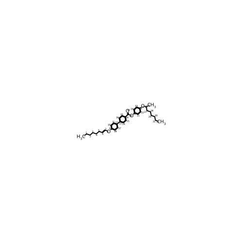 CCCCCC/C=C/Oc1ccc(-c2ccc(C(=O)Oc3ccc(O[C@@H](C)CCCCCC)cc3)cc2)cc1